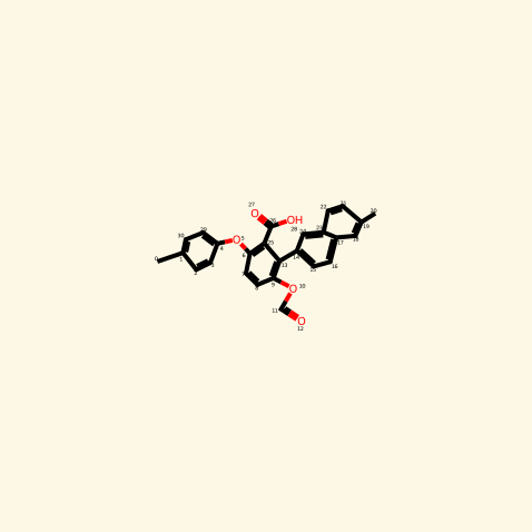 Cc1ccc(Oc2ccc(OC=O)c(-c3ccc4cc(C)ccc4c3)c2C(=O)O)cc1